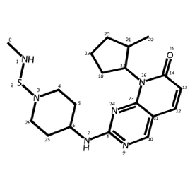 CNSN1CCC(Nc2ncc3ccc(=O)n(C4CCCC4C)c3n2)CC1